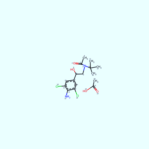 CC(=O)N(CC(O)c1cc(Cl)c(N)c(Cl)c1)C(C)(C)C.CC(=O)O